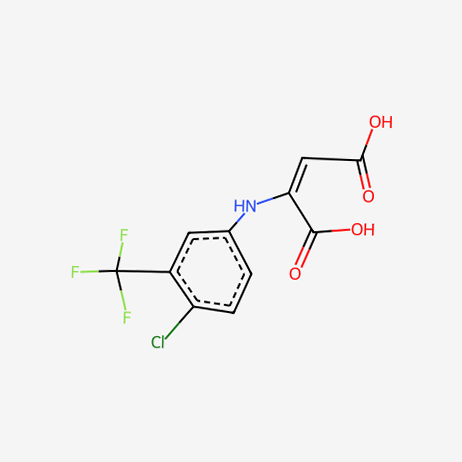 O=C(O)C=C(Nc1ccc(Cl)c(C(F)(F)F)c1)C(=O)O